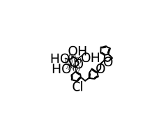 OC[C@H]1O[C@@H](c2ccc(Cl)c(Cc3ccc(OCC4OCc5ccccc54)cc3)c2)[C@H](O)[C@@H](O)[C@@H]1O